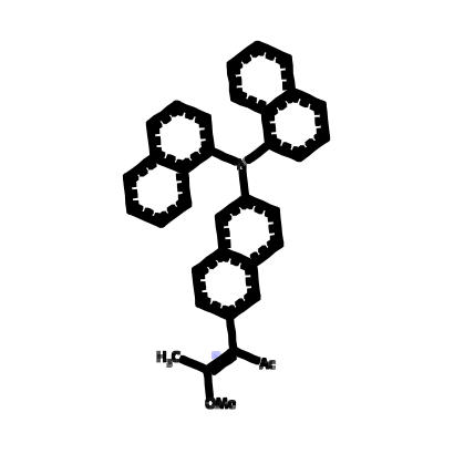 CO/C(C)=C(\C(C)=O)c1ccc2cc(N(c3cccc4ccccc34)c3cccc4ccccc34)ccc2c1